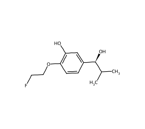 CC(C)[C@H](O)c1ccc(OCCF)c(O)c1